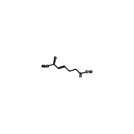 COC(=O)C=CCCNC=O